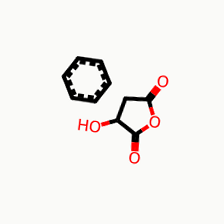 O=C1CC(O)C(=O)O1.c1ccccc1